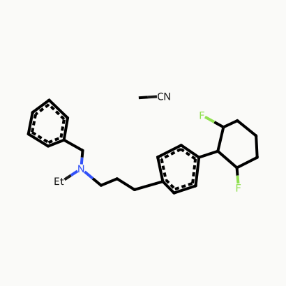 CC#N.CCN(CCCc1ccc(C2C(F)CCCC2F)cc1)Cc1ccccc1